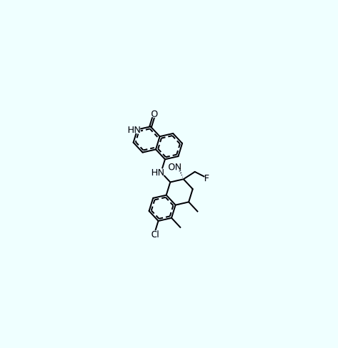 Cc1c(Cl)ccc2c1C(C)C[C@@](CF)(N=O)C2Nc1cccc2c(=O)[nH]ccc12